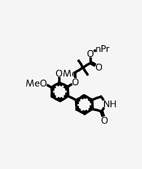 CCCOC(=O)C(C)(C)COc1c(-c2ccc3c(c2)CNC3=O)ccc(OC)c1OC